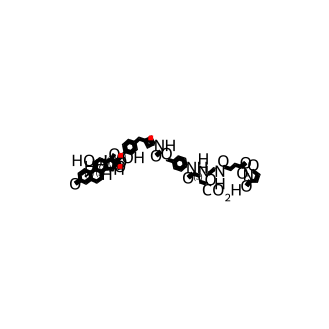 C[C@]12C=CC(=O)C=C1CC[C@@H]1[C@@H]2[C@@H](O)C[C@@]2(C)[C@H]1C[C@H]1O[C@H](c3ccc(CC45CC(NC(=O)OCc6ccc(NC(=O)[C@H](CCC(=O)O)NC(=O)CNC(=O)CCC(=O)ON7C(=O)C=CC7=O)cc6)(C4)C5)cc3)O[C@]12C(=O)CO